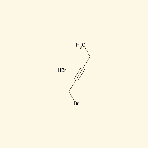 Br.CCC#CCBr